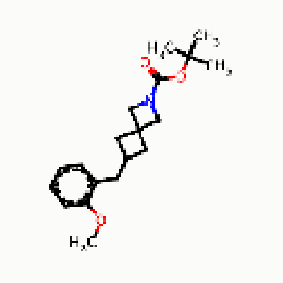 COc1ccccc1CC1CC2(C1)CN(C(=O)OC(C)(C)C)C2